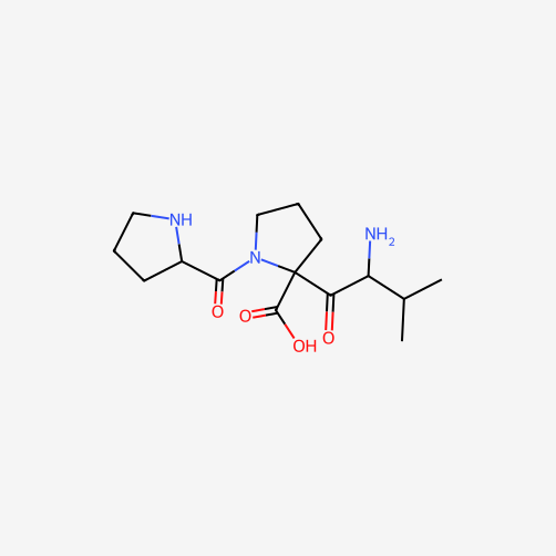 CC(C)C(N)C(=O)C1(C(=O)O)CCCN1C(=O)C1CCCN1